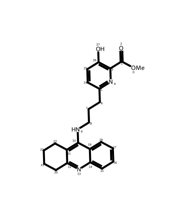 COC(=O)c1nc(CCCNc2c3c(nc4ccccc24)CCCC3)ccc1O